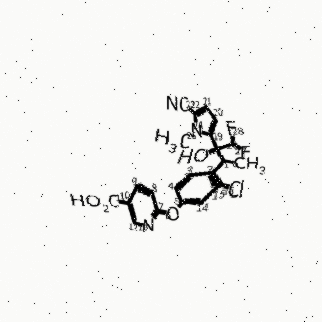 CC(c1ccc(Oc2ccc(C(=O)O)cn2)cc1Cl)C(O)(c1ccc(C#N)n1C)C(F)F